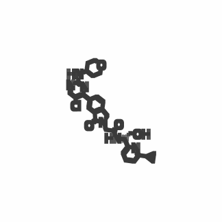 O=C(CN1Cc2ccc(-c3nc(NC4CCOCC4)ncc3Cl)cc2C1=O)N[C@H](CO)c1cccc(C2CC2)n1